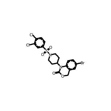 O=C1OCc2cc(Br)ccc2N1C1CCN(S(=O)(=O)c2ccc(Cl)c(Cl)c2)CC1